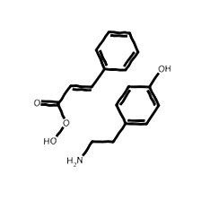 NCCc1ccc(O)cc1.O=C(C=Cc1ccccc1)OO